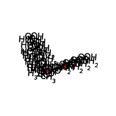 CC(C)[C@H](N)C(=O)O.NC(=O)CC[C@H](N)C(=O)O.NC(=O)CC[C@H](N)C(=O)O.NC(=O)CC[C@H](N)C(=O)O.NC(=O)CC[C@H](N)C(=O)O.NCC(=O)O.N[C@@H](CCC(=O)O)C(=O)O.N[C@@H](CO)C(=O)O.N[C@@H](CO)C(=O)O.N[C@@H](CO)C(=O)O.N[C@@H](CO)C(=O)O.N[C@@H](CO)C(=O)O